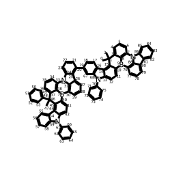 CC1(C)c2cccc3c2B(c2ccc4c(c21)c1ccc(-c2cccc5c2c2cccc6c2n5-c2cccc5c2B6c2ccc6c(c2C5(C)c2ccccc2)c2ccccc2n6-c2ccccc2)cc1n4-c1ccccc1)c1cccc2c4ccccc4n-3c12